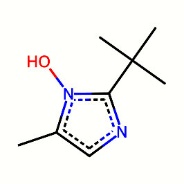 Cc1cnc(C(C)(C)C)n1O